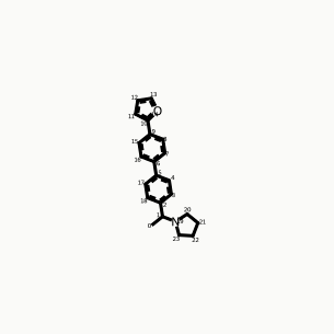 CC(c1ccc(-c2ccc(-c3ccco3)cc2)cc1)N1CCCC1